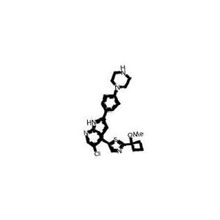 COC1(c2ncc(-c3c(Cl)cnc4[nH]c(-c5ccc(N6CCNCC6)cc5)cc34)s2)CCC1